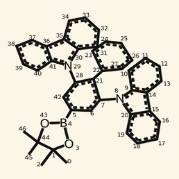 CC1(C)OB(c2cc(-n3c4ccccc4c4ccccc43)c(-c3ccccc3)c(-n3c4ccccc4c4ccccc43)c2)OC1(C)C